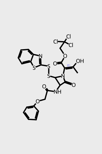 C/C(O)=C(/C(=O)OCC(Cl)(Cl)Cl)N1C(=O)C(NC(=O)COc2ccccc2)C1SSc1nc2ccccc2s1